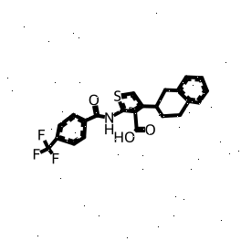 O=C(Nc1scc(C2CCc3ccccc3C2)c1C(=O)O)c1ccc(C(F)(F)F)cc1